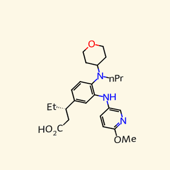 CCCN(c1ccc([C@@H](CC)CC(=O)O)cc1Nc1ccc(OC)nc1)C1CCOCC1